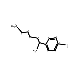 CCCCCCCCCCCC(N)c1ccc(O)cc1